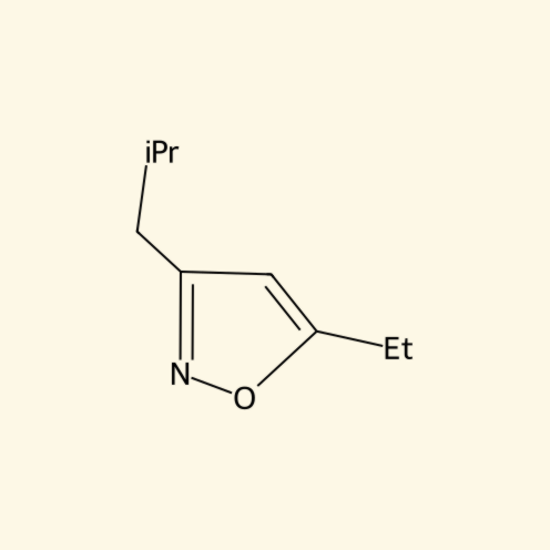 CCc1cc(CC(C)C)no1